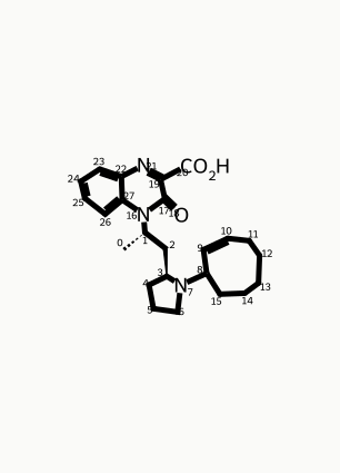 C[C@@H](C[C@@H]1CCCN1C1/C=C\CCCCC1)n1c(=O)c(C(=O)O)nc2ccccc21